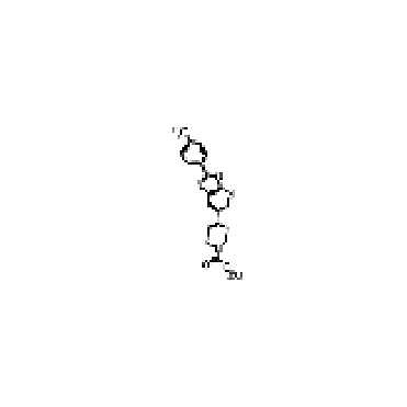 CC(C)(C)OC(=O)N1CC=C(c2cnc3oc(-c4ccc(C(F)(F)F)cc4)nc3c2)CC1